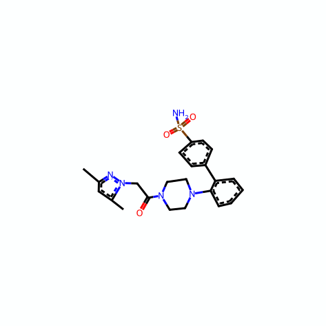 Cc1cc(C)n(CC(=O)N2CCN(c3ccccc3-c3ccc(S(N)(=O)=O)cc3)CC2)n1